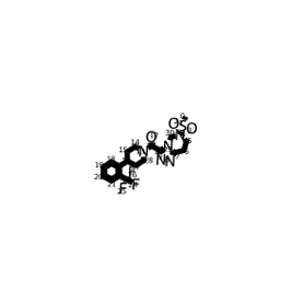 CS(=O)(=O)N1CCc2nnc(C(=O)N3CCC(c4ccccc4C(F)(F)F)CC3)n2C1